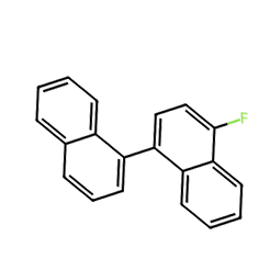 Fc1ccc(-c2cccc3ccccc23)c2ccccc12